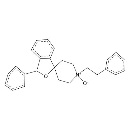 [O-][N+]1(CCc2ccccc2)CCC2(CC1)OC(c1ccccc1)c1ccccc12